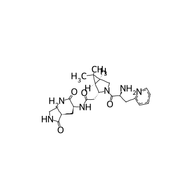 CC1(C)[C@@H]2[C@@H](CC(=O)N[C@@H](C[C@@H]3CCNC3=O)C(N)=O)N(C(=O)[C@@H](N)Cc3ccccn3)C[C@@H]21